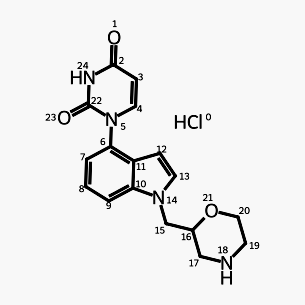 Cl.O=c1ccn(-c2cccc3c2ccn3CC2CNCCO2)c(=O)[nH]1